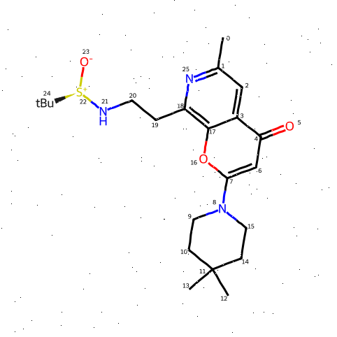 Cc1cc2c(=O)cc(N3CCC(C)(C)CC3)oc2c(CCN[S@+]([O-])C(C)(C)C)n1